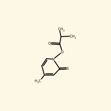 Cc1ccn(OC(=O)C(C)C)c(=S)c1